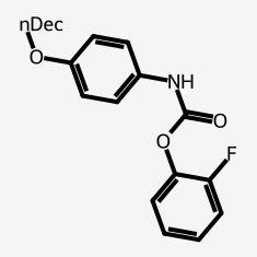 CCCCCCCCCCOc1ccc(NC(=O)Oc2ccccc2F)cc1